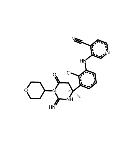 C[C@@]1(c2cccc(Nc3cnccc3C#N)c2Cl)CC(=O)N(C2CCOCC2)C(=N)N1